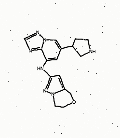 c1nc2c(Nc3cc4n(n3)CCOC4)cc(C3CCNC3)cn2n1